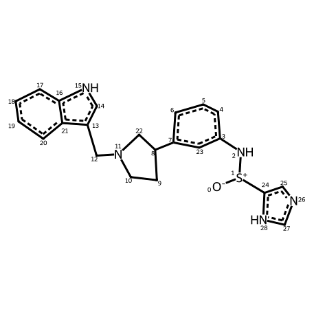 [O-][S+](Nc1cccc(C2CCN(Cc3c[nH]c4ccccc34)C2)c1)c1cnc[nH]1